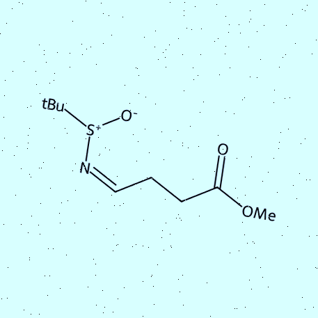 COC(=O)CC/C=N\[S+]([O-])C(C)(C)C